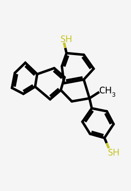 CC(Cc1ccc2ccccc2c1)(c1ccc(S)cc1)c1ccc(S)cc1